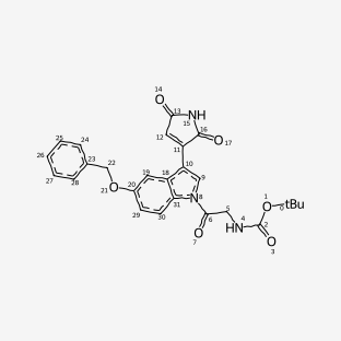 CC(C)(C)OC(=O)NCC(=O)n1cc(C2=CC(=O)NC2=O)c2cc(OCc3ccccc3)ccc21